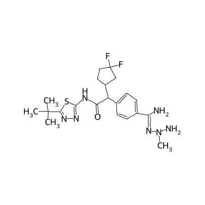 CN(N)/N=C(\N)c1ccc(C(C(=O)Nc2nnc(C(C)(C)C)s2)C2CCC(F)(F)C2)cc1